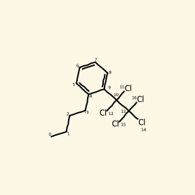 CCC[CH]c1ccccc1C(Cl)(Cl)C(Cl)(Cl)Cl